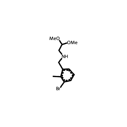 COC(CNCc1cccc(Br)c1C)OC